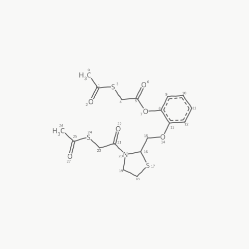 CC(=O)SCC(=O)Oc1ccccc1OCC1SCCN1C(=O)CSC(C)=O